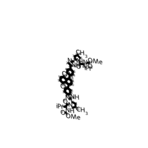 COC(=O)NC(C(=O)N1C[C@@H](C)C[C@H]1c1nc2ccc(-c3ccc(-c4ccc(-c5cnc([C@@H]6C[C@H](C)CN6C(=O)[C@@H](NC(=O)OC)C(C)C)[nH]5)cc4)c4c(C)ccc(C)c34)cc2[nH]1)C(C)C